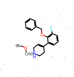 CC(C)(C)OC=O.Fc1cccc(C2=CCNCC2)c1OCc1ccccc1